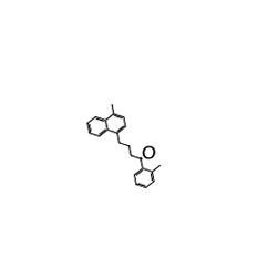 Cc1ccccc1C(=O)CCCc1ccc(C)c2ccccc12